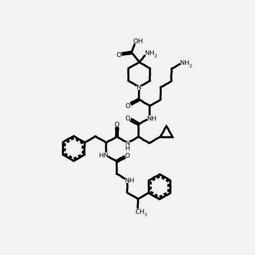 CC(CNCC(=O)NC(Cc1ccccc1)C(=O)NC(CC1CC1)C(=O)NC(CCCCN)C(=O)N1CCC(N)(C(=O)O)CC1)c1ccccc1